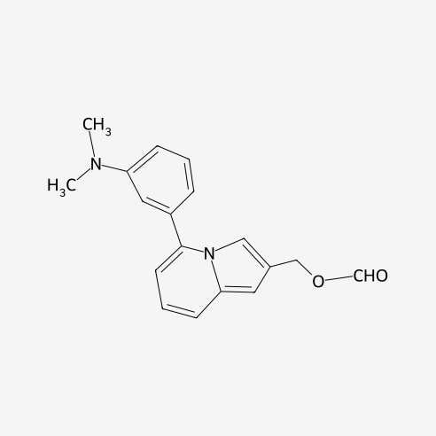 CN(C)c1cccc(-c2cccc3cc(COC=O)cn23)c1